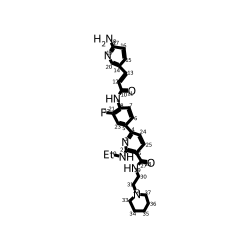 CCNc1nc(-c2ccc(NC(=O)/C=C/c3ccc(N)nc3)c(F)c2)ccc1C(=O)NCCN1CCCCC1